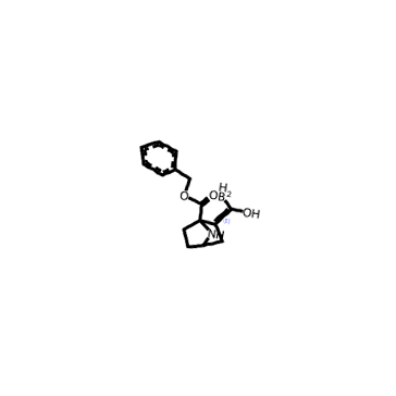 B/C(O)=C1/CC2CCC1(C(=O)OCc1ccccc1)N2